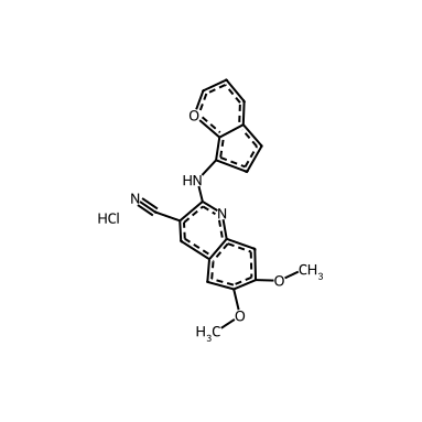 COc1cc2cc(C#N)c(Nc3ccc4cccoc3-4)nc2cc1OC.Cl